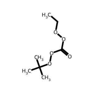 CCOOC(=O)OOC(C)(C)C